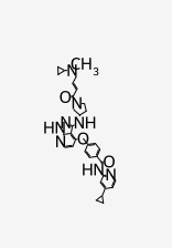 CN(C/C=C/C(=O)N1CC[C@@H](Nc2n[nH]c3nccc(Oc4ccc(C(=O)Nc5cc(C6CC6)ccn5)cc4)c23)C1)C1CC1